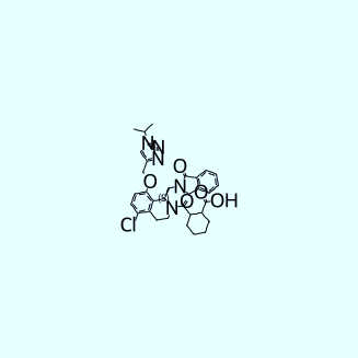 CC(C)n1cc(COc2ccc(Cl)c3c2[C@@H](CN2Cc4ccccc4C2=O)N(C(=O)C2CCCCC2C(=O)O)CC3)nn1